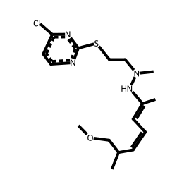 COCC(C)/C=C\C=C(/C)NN(C)CCSc1nccc(Cl)n1